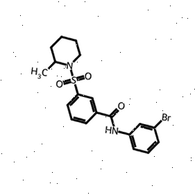 CC1CCCCN1S(=O)(=O)c1cccc(C(=O)Nc2cccc(Br)c2)c1